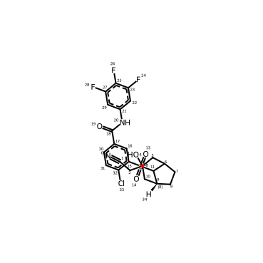 N#CCC1(O)CC2CC[C@H](C1)C2S(=O)(=O)c1cc(C(=O)Nc2cc(F)c(F)c(F)c2)ccc1Cl